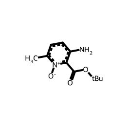 Cc1ccc(N)c(C(=O)OC(C)(C)C)[n+]1[O-]